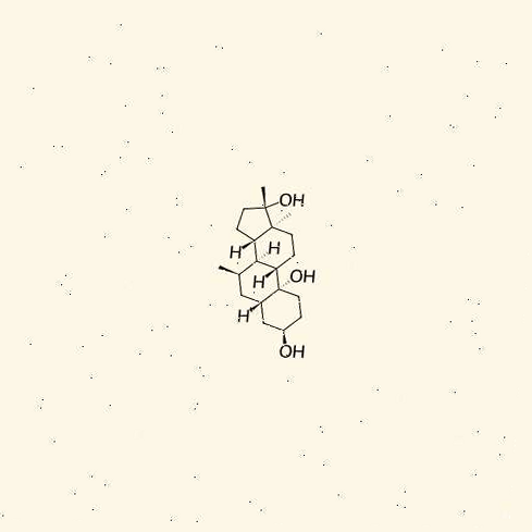 C[C@@H]1C[C@H]2C[C@H](O)CC[C@]2(O)[C@H]2CC[C@@]3(C)[C@@H](CC[C@]3(C)O)[C@H]12